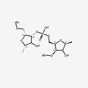 C[C@@H]1O[C@H](COP(=O)(O)O[C@@H]2C(O)[C@H](C)O[C@@H]2COC(C)(C)C)[C@H](OC(C)(C)C)C1O